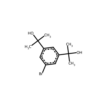 CC(C)(O)c1cc(Br)cc(C(C)(C)O)c1